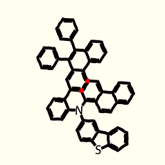 c1ccc(-c2c(-c3ccccc3)c3cc(-c4ccccc4N(c4ccc5sc6ccccc6c5c4)c4cccc5c4ccc4ccccc45)ccc3c3ccccc23)cc1